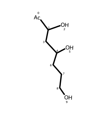 CC(=O)C(O)CC(O)CCCO